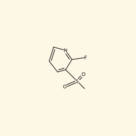 CS(=O)(=O)c1cccnc1F